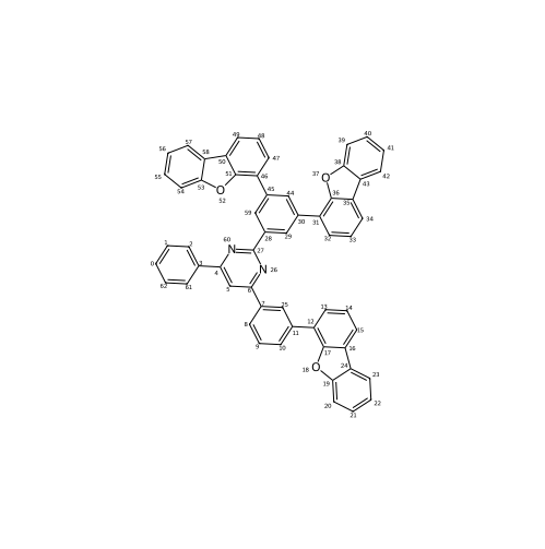 c1ccc(-c2cc(-c3cccc(-c4cccc5c4oc4ccccc45)c3)nc(-c3cc(-c4cccc5c4oc4ccccc45)cc(-c4cccc5c4oc4ccccc45)c3)n2)cc1